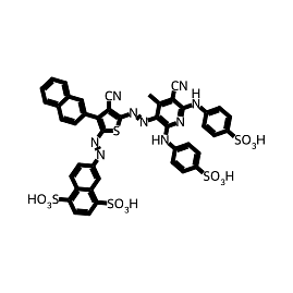 Cc1c(C#N)c(Nc2ccc(S(=O)(=O)O)cc2)nc(Nc2ccc(S(=O)(=O)O)cc2)c1N=Nc1sc(/N=N/c2ccc3c(S(=O)(=O)O)ccc(S(=O)(=O)O)c3c2)c(-c2ccc3ccccc3c2)c1C#N